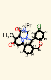 Cc1c2n(ccc1=O)N(C1c3ccccc3COc3ccc(Cl)cc31)CN(C(C)C)C2=O